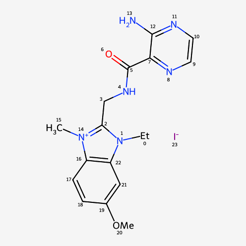 CCn1c(CNC(=O)c2nccnc2N)[n+](C)c2ccc(OC)cc21.[I-]